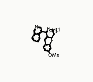 COc1ccc(C=C2CCCN=C2c2cncc3ccccc23)c(F)c1.Cl.Cl